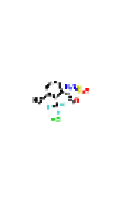 Cc1cccc(C)c1C(F)(F)F.Cl.N[SH](=O)=O